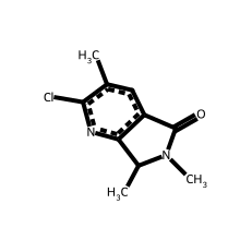 Cc1cc2c(nc1Cl)C(C)N(C)C2=O